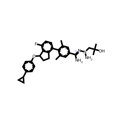 Cc1cc(/C(N)=N/N(N)CC(C)(C)O)cc(C)c1-c1ccc(F)c2c1CCC2Oc1ccc(C2CC2)cc1